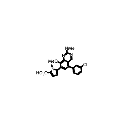 CNc1ncc2c(-c3cccc(Cl)c3)cc(-c3ccc(C(=O)O)n3C)c(OC)c2n1